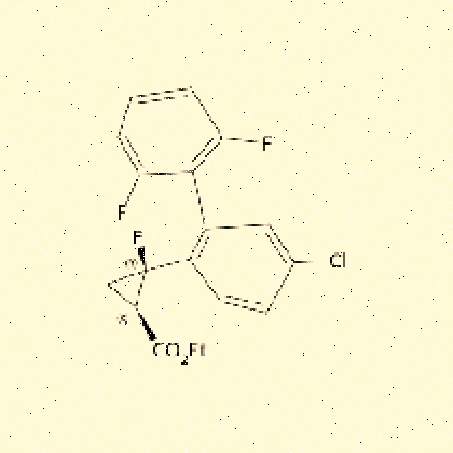 CCOC(=O)[C@H]1C[C@]1(F)c1ccc(Cl)cc1-c1c(F)cccc1F